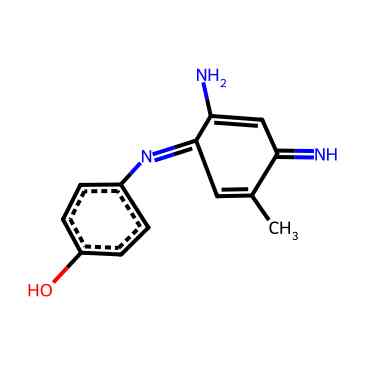 CC1=CC(=Nc2ccc(O)cc2)C(N)=CC1=N